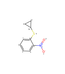 O=[N+]([O-])c1ccccc1SC1CC1